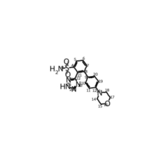 NS(=O)(=O)c1cccc(-c2ccc(N3CCOCC3)cc2)c1-c1nn[nH]n1